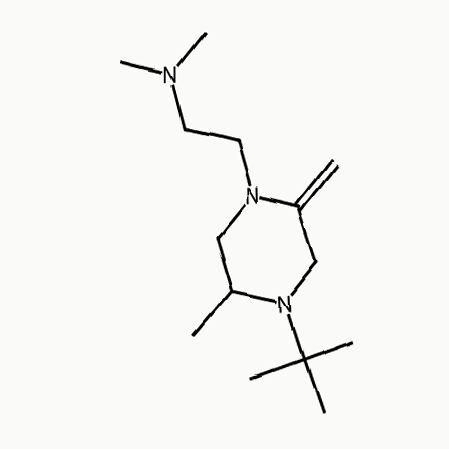 C=C1CN(C(C)(C)C)C(C)CN1CCN(C)C